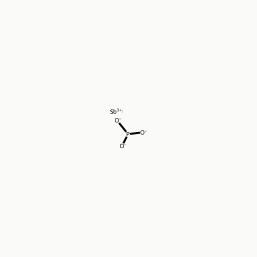 [O-]P([O-])[O-].[Sb+3]